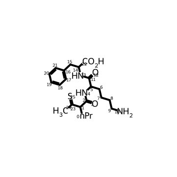 CCCC(C(=O)NC(CCCCN)C(=O)NC(Cc1ccccc1)C(=O)O)C(C)=S